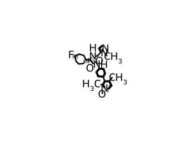 Cc1cc[n+]([O-])c(C)c1-c1ccc(NC(=O)[C@@H](NC(=O)c2ccnn2C)[C@H]2CCC[C@H](F)CC2)cc1